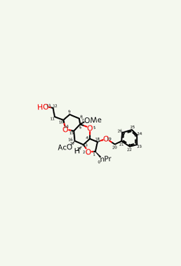 [CH2][CH]C[C@H]1O[C@@H]2C(OC3(OC)CCC(CCO)OC3[C@H]2OC(C)=O)[C@H]1OCc1ccccc1